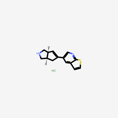 C1=C(c2cnc3sccc3c2)C[C@H]2CNC[C@@H]12.Cl